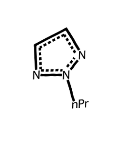 CCCn1nccn1